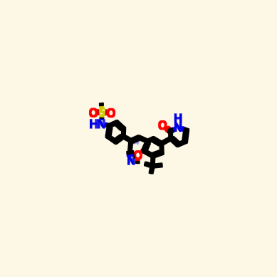 COc1c(/C=C(\C#N)c2ccc(NS(C)(=O)=O)cc2)cc(-c2ccc[nH]c2=O)cc1C(C)(C)C